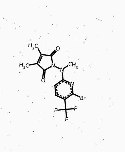 CC1=C(C)C(=O)N(N(C)c2ccc(C(F)(F)F)c(Br)n2)C1=O